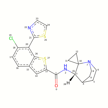 O=C(N[C@H]1C2CCN(CC2)C12CC2)c1cc2ccc(Cl)c(-c3nccs3)c2s1